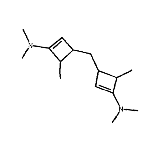 CC1C(N(C)C)=CC1CC1C=C(N(C)C)C1C